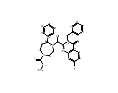 CCC(c1nc2cc(Cl)ccc2c(=O)n1Cc1ccccc1)N1CCN(C(=O)OC(C)(C)C)CCC1c1ccccc1